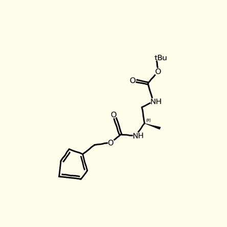 C[C@H](CNC(=O)OC(C)(C)C)NC(=O)OCc1ccccc1